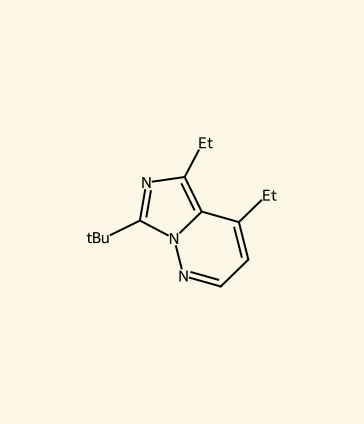 CCc1ccnn2c(C(C)(C)C)nc(CC)c12